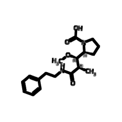 CO[C@H]([C@@H](C)C(=O)NCCc1ccccc1)[C@@H]1CCCN1C(=O)O